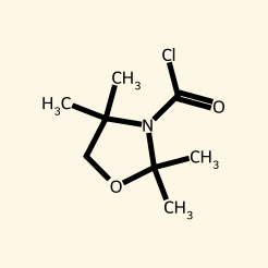 CC1(C)COC(C)(C)N1C(=O)Cl